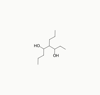 CCCC(O)C(CCC)C(O)CC